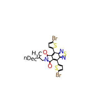 CCCCCCCCCCC(C)CN1C(=O)c2c(c(-c3ccc(Br)s3)c3nsnc3c2-c2ccc(Br)s2)C1=O